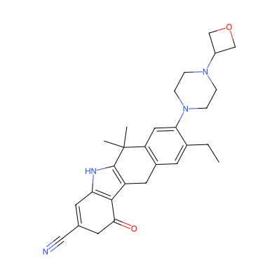 CCc1cc2c(cc1N1CCN(C3COC3)CC1)C(C)(C)c1[nH]c3c(c1C2)C(=O)CC(C#N)=C3